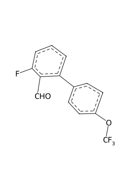 O=Cc1c(F)cccc1-c1ccc(OC(F)(F)F)cc1